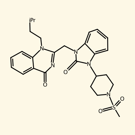 CC(C)CCn1c(Cn2c(=O)n(C3CCN(S(C)(=O)=O)CC3)c3ccccc32)nc(=O)c2ccccc21